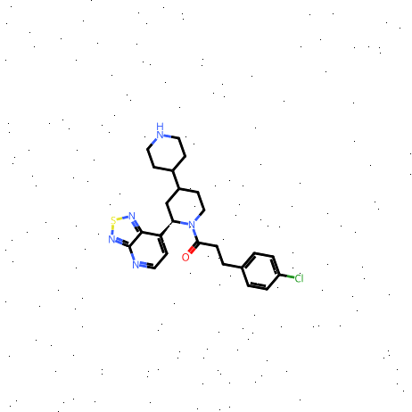 O=C(CCc1ccc(Cl)cc1)N1CCC(C2CCNCC2)C[C@@H]1c1ccnc2nsnc12